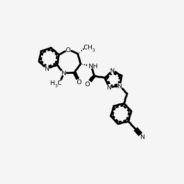 C[C@H]1Oc2cccnc2N(C)C(=O)[C@H]1NC(=O)c1ncn(Cc2cccc(C#N)c2)n1